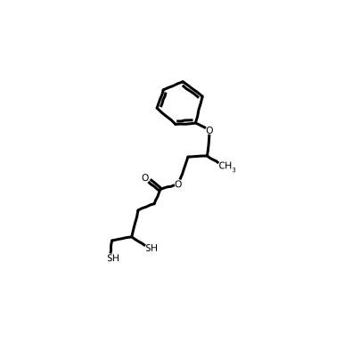 CC(COC(=O)CCC(S)CS)Oc1ccccc1